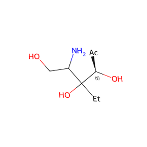 CCC(O)(C(N)CO)[C@H](O)C(C)=O